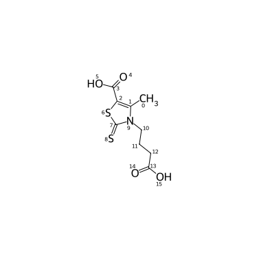 Cc1c(C(=O)O)sc(=S)n1CCCC(=O)O